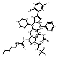 CCCCCNC(=O)OC1CN(C(=O)OC(C)(C)C)CC1CN(C(=O)[C@H](C)OC(C)=O)C(c1nc(-c2cc(F)ccc2F)cn1Cc1ccccc1)C1CCOCC1